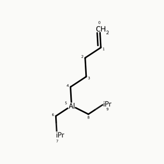 C=CCC[CH2][Al]([CH2]C(C)C)[CH2]C(C)C